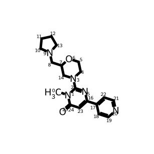 Cn1c(N2CCOC(CN3CCCC3)C2)nc(-c2ccncc2)cc1=O